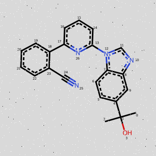 CC(C)(O)c1ccc2c(c1)ncn2-c1cccc(-c2ccccc2C#N)n1